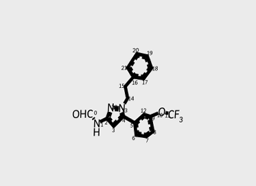 O=CNc1cc(-c2cccc(OC(F)(F)F)c2)n(CCc2ccccc2)n1